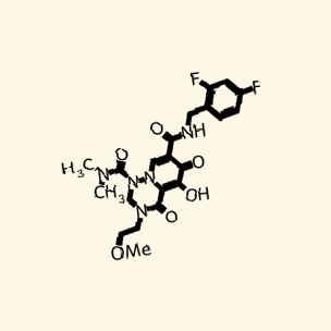 COCCN1CN(C(=O)N(C)C)n2cc(C(=O)NCc3ccc(F)cc3F)c(=O)c(O)c2C1=O